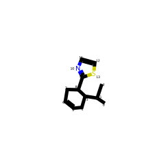 CC(C)C1CC=CCC1c1nccs1